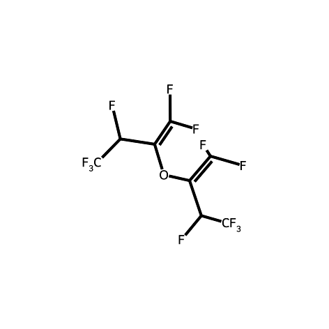 FC(F)=C(OC(=C(F)F)C(F)C(F)(F)F)C(F)C(F)(F)F